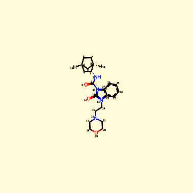 O=C(N[C@@H]1C[C@@H]2CC[C@@H]1C2)n1c(=O)n(CCN2CCOCC2)c2ccccc21